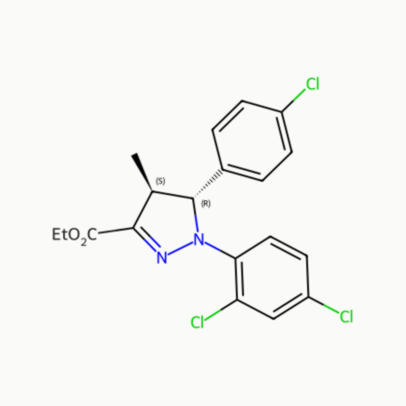 CCOC(=O)C1=NN(c2ccc(Cl)cc2Cl)[C@@H](c2ccc(Cl)cc2)[C@@H]1C